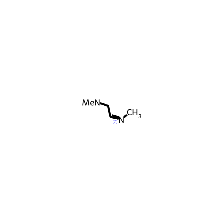 C/N=C\CNC